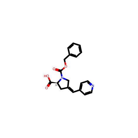 O=C(O)[C@@H]1CC(=Cc2ccncc2)CN1C(=O)OCc1ccccc1